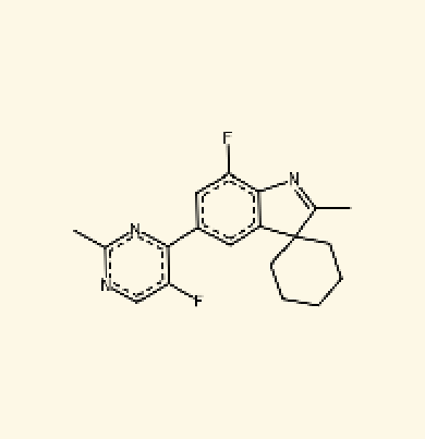 CC1=Nc2c(F)cc(-c3nc(C)ncc3F)cc2C12CCCCC2